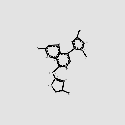 Cc1ccc2c(-c3cc(C)nn3C)cnc(NC3=NC(C)CS3)c2n1